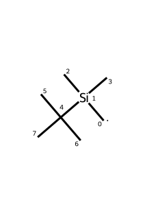 [CH2][Si](C)(C)C(C)(C)C